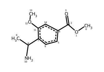 COC(=O)c1ccc(C(C)N)c(OC)c1